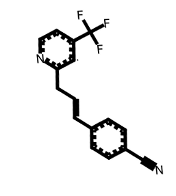 N#Cc1ccc(C=CCc2[c]c(C(F)(F)F)ccn2)cc1